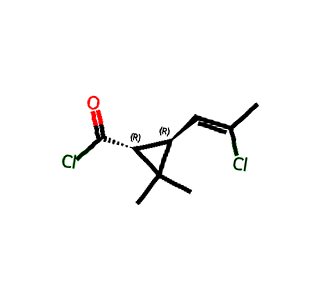 CC(Cl)=C[C@@H]1[C@@H](C(=O)Cl)C1(C)C